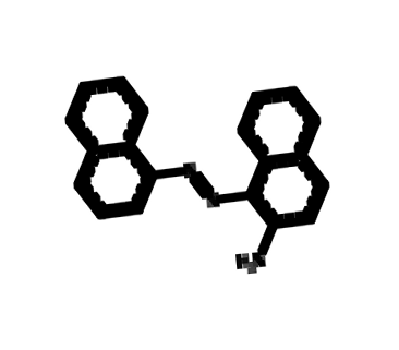 Nc1ccc2ccccc2c1N=Nc1cccc2ccccc12